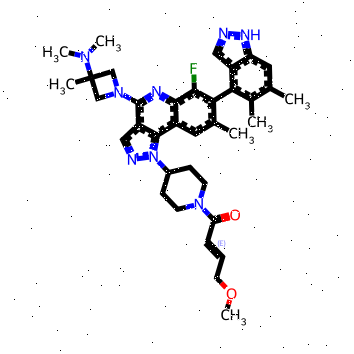 COC/C=C/C(=O)N1CCC(n2ncc3c(N4CC(C)(N(C)C)C4)nc4c(F)c(-c5c(C)c(C)cc6[nH]ncc56)c(C)cc4c32)CC1